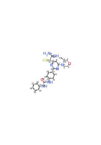 C[C@H]1COCCN1c1cc(C(S)C(=N)N)nc(-c2ccc(NC(=O)Nc3ccccc3)cc2)n1